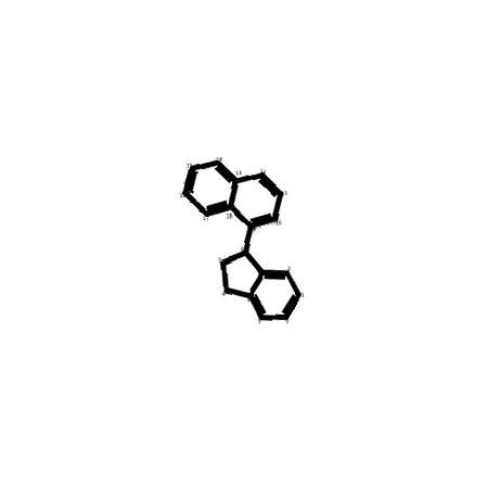 c1ccc2c(c1)CC[C]2c1cccc2ccccc12